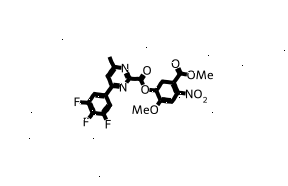 COC(=O)C1=C([N+](=O)[O-])C=C(OC)C(OC(=O)c2nc(C)cc(-c3cc(F)c(F)c(F)c3)n2)C1